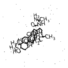 C=C(C)[C@@H]1CC[C@]2(C(=O)NC(C)N)CC[C@@]3(C)[C@]4(C)CC[C@H]5C(C)(C)[C@@H](O)CC[C@]5(C)[C@H]4CC[C@]3(N)[C@@H]12